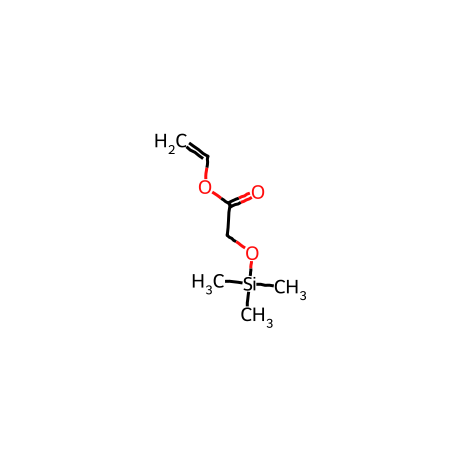 C=COC(=O)CO[Si](C)(C)C